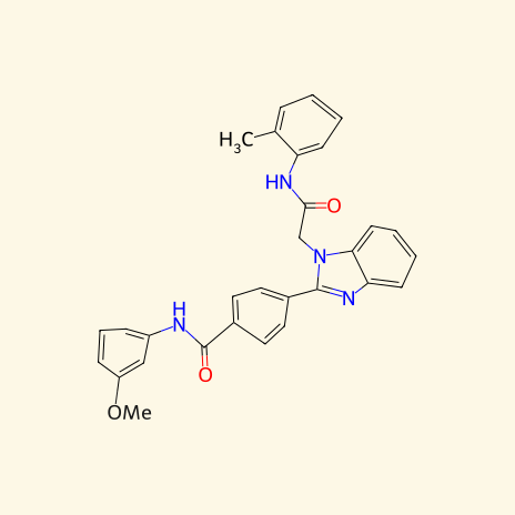 COc1cccc(NC(=O)c2ccc(-c3nc4ccccc4n3CC(=O)Nc3ccccc3C)cc2)c1